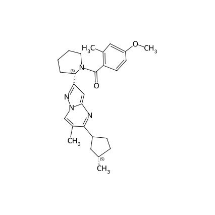 COc1ccc(C(=O)N2CCCC[C@H]2c2cc3nc(C4CC[C@H](C)C4)c(C)cn3n2)c(C)c1